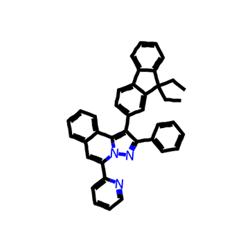 CCC1(CC)c2ccccc2-c2ccc(-c3c(-c4ccccc4)nn4c(-c5ccccn5)cc5ccccc5c34)cc21